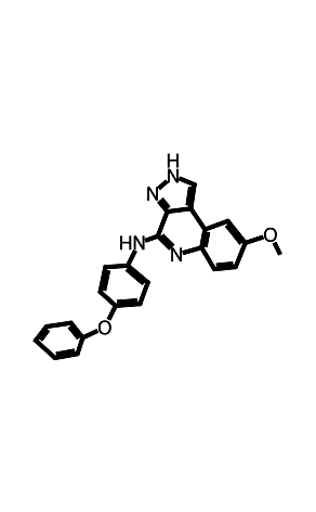 COc1ccc2nc(Nc3ccc(Oc4ccccc4)cc3)c3n[nH]cc3c2c1